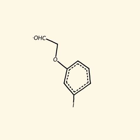 O=[C]COc1cccc(I)c1